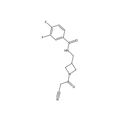 N#CCC(=O)N1CC(CNC(=O)c2ccc(F)c(F)c2)C1